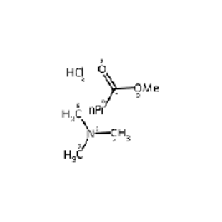 CCCC(=O)OC.CN(C)C.Cl